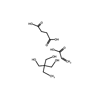 C=CC(=O)O.CCC(CO)(CO)CO.O=C(O)CCC(=O)O